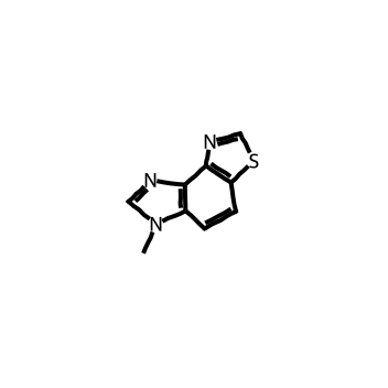 Cn1cnc2c3ncsc3ccc21